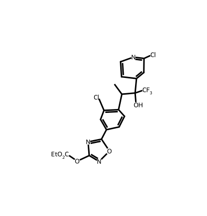 CCOC(=O)Oc1noc(-c2ccc(C(C)C(O)(c3ccnc(Cl)c3)C(F)(F)F)c(Cl)c2)n1